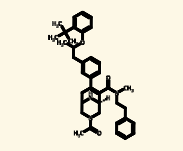 CC(=O)N1CC2CC(c3cccc(CC(C)Oc4ccccc4C(C)(C)C)c3)=C(C(=O)N(C)CCc3ccccc3)[C@@H](C1)N2